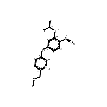 COCc1ccc(Oc2ccc(N=O)c(OC(C)C)c2)cn1